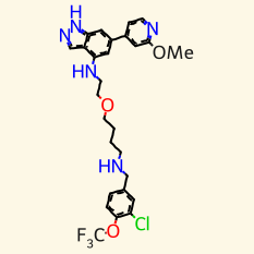 COc1cc(-c2cc(NCCOCCCCNCc3ccc(OC(F)(F)F)c(Cl)c3)c3cn[nH]c3c2)ccn1